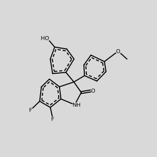 COc1ccc(C2(c3ccc(O)cc3)C(=O)Nc3c2ccc(F)c3F)cc1